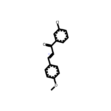 COc1ccc(/C=C/C(=O)c2cccc(Cl)c2)cc1